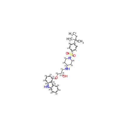 CCC(C)(C)c1ccc(S(=O)(=O)N2CCC(NC[C@H](O)COc3cccc4[nH]c5ccccc5c34)CC2)cc1